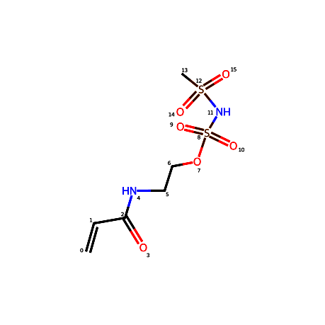 C=CC(=O)NCCOS(=O)(=O)NS(C)(=O)=O